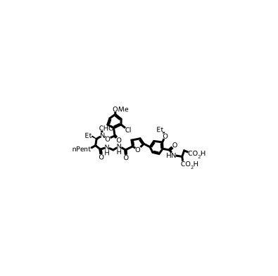 CCCCCC(C(=O)NCNC(=O)c1ccc(-c2ccc(C(=O)NC(CC(=O)O)C(=O)O)c(OCC)c2)o1)[C@@H](CC)N(C=O)OC(=O)c1ccc(OC)cc1Cl